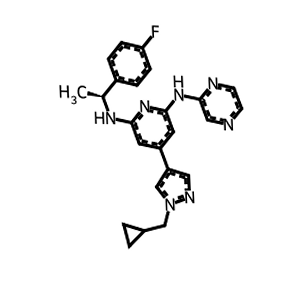 C[C@H](Nc1cc(-c2cnn(CC3CC3)c2)cc(Nc2cnccn2)n1)c1ccc(F)cc1